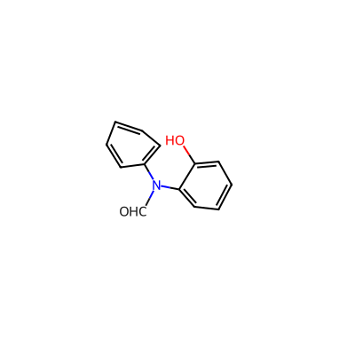 O=CN(c1ccccc1)c1ccccc1O